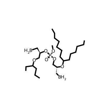 BC[C@H](COP(=O)(OC)O[C@H](CB)COC(CC)CCC)OC(CCCCCC)CCCCCCC